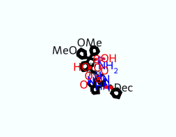 CCCCCCCCCCCCc1cccc2c1C(=O)N(O[C@@H]1[C@H](O)[C@@H](C(OP(N)O)C(c3ccccc3)(c3ccc(OC)cc3)c3ccc(OC)cc3)O[C@H]1n1ccc(NCc3ccccc3)nc1=O)C2=O